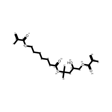 C=C(C)C(=O)OCCCCCCC(=O)OC(C)(C)CC(O)COC(=O)C(=C)C